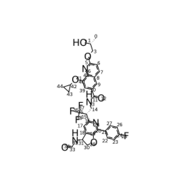 C[C@@H](O)COc1ccc2cc(C(=O)NC[C@H](c3cc4c(c(-c5ccc(F)cc5)n3)OC[C@H]4NC=O)C(F)(F)F)cc(OC3CC3)c2n1